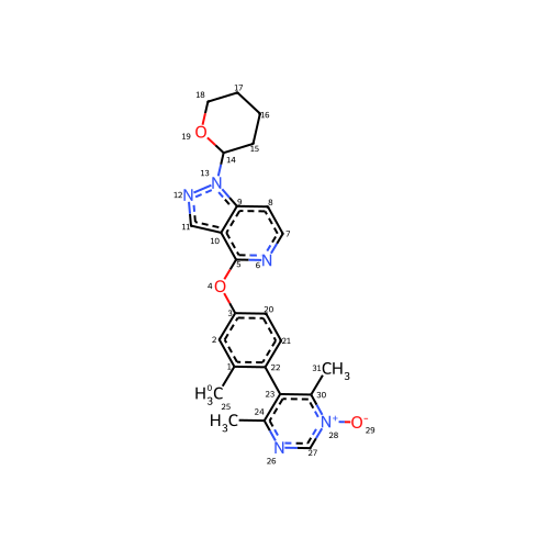 Cc1cc(Oc2nccc3c2cnn3C2CCCCO2)ccc1-c1c(C)nc[n+]([O-])c1C